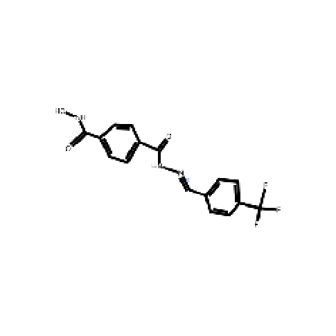 O=C(NO)c1ccc(C(=O)N/N=C/c2ccc(C(F)(F)F)cc2)cc1